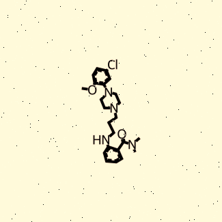 COc1ccc(Cl)cc1N1CCN(CCCNc2ccccc2C(=O)N(C)C)CC1